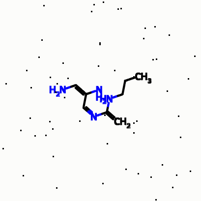 C=C(/N=C\C(N)=C/N)NCCC